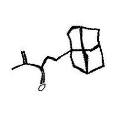 C=C(C)C(=O)CCC12CC3CC(CC(C3)C1)C2